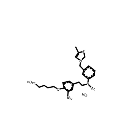 Br.CCCCCCCCCCCCCCOc1ccc(CCN(C(C)=O)c2cccc(CN3C=C(C)SC3)c2)cc1C(C)(C)C